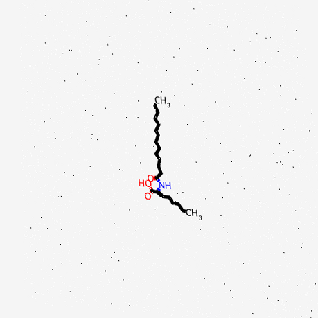 CCCCCC=C(NC(=O)CCCCCCCCCCCCC)C(=O)O